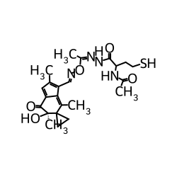 CC(=O)NC(CCS)C(=O)N/N=C(/C)ON=CC1=C(C)C=C2C(=O)[C@](C)(O)C3(CC3)C(C)=C21